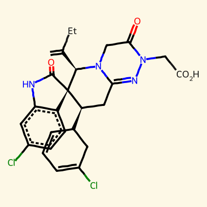 C=C(CC)[C@H]1N2CC(=O)N(CC(=O)O)N=C2C[C@@H](C2C=CC=C(Cl)C2)[C@]12C(=O)Nc1cc(Cl)ccc12